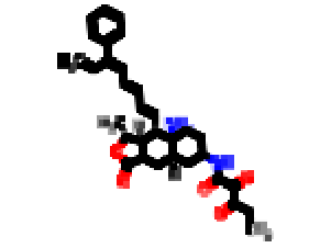 C=C\C(=C/C=C/C=C/[C@@H]1[C@H]2C(C[C@@H]3C[C@H](NC(=O)C(=O)C(=O)CC)CC[C@]31N)C(=O)O[C@@H]2C)c1ccccc1